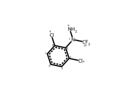 NN(c1c(Cl)cccc1Cl)C(F)(F)F